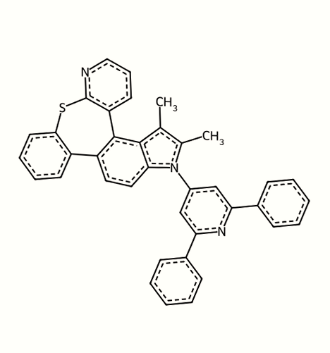 Cc1c(C)n(-c2cc(-c3ccccc3)nc(-c3ccccc3)c2)c2ccc3c(c12)-c1cccnc1Sc1ccccc1-3